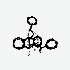 O=C(O[C@@H]1[C@H]2c3ccccc3[C@H](c3ccccc32)[C@@H]1OC(=O)c1ccccc1)c1ccccc1